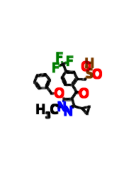 Cn1nc(C2CC2)c(C(=O)c2ccc(C(F)(F)F)cc2C[SH](=O)=O)c1OCc1ccccc1